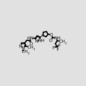 Cc1c(CC(=O)Nc2cc([C@H]3CCC(OC(=O)NC(C)CC(F)(F)F)C3)[nH]n2)cnn1C